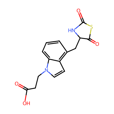 O=C(O)CCn1ccc2c(CC3NC(=O)SC3=O)cccc21